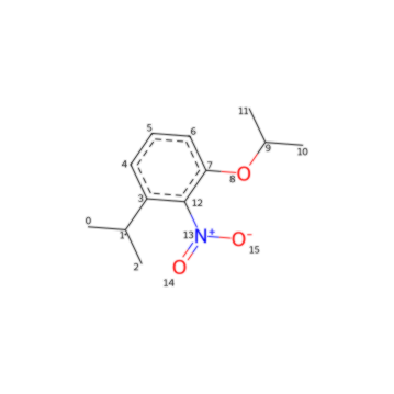 C[C](C)c1cccc(OC(C)C)c1[N+](=O)[O-]